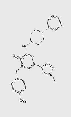 COc1ccc(Cn2cc(-c3cnn(C)c3)cc(N[C@H]3CC[C@@H](c4ccccc4)CC3)c2=O)cc1